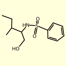 CCC(C)C(CO)NS(=O)(=O)c1ccccc1